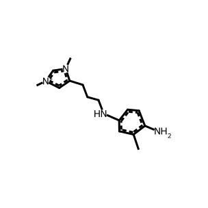 Cc1cc(NCCCc2c[n+](C)cn2C)ccc1N